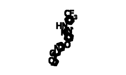 Cn1c(Nc2cccc(C(F)(F)F)c2)nc2cc(Oc3ccnc(CC(=O)C4CCCO4)c3)ccc21